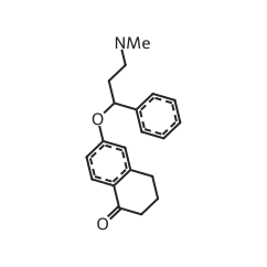 CNCCC(Oc1ccc2c(c1)CCCC2=O)c1ccccc1